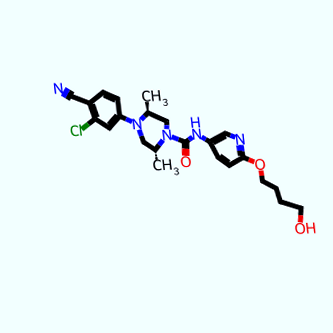 C[C@@H]1CN(c2ccc(C#N)c(Cl)c2)[C@@H](C)CN1C(=O)Nc1ccc(OCCCCO)nc1